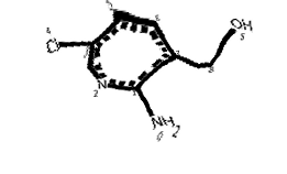 Nc1nc(Cl)ccc1CO